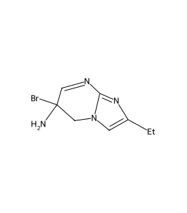 CCc1cn2c(n1)N=CC(N)(Br)C2